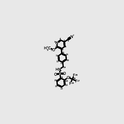 COc1ncc(C#N)cc1-c1ccc(CNS(=O)(=O)c2ccccc2OC(F)(F)F)cc1